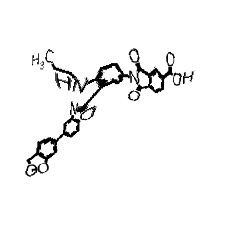 CCCNc1ccc(N2C(=O)c3ccc(C(=O)O)cc3C2=O)cc1-c1nc2cc(-c3ccc4c(c3)OOC4)ccc2o1